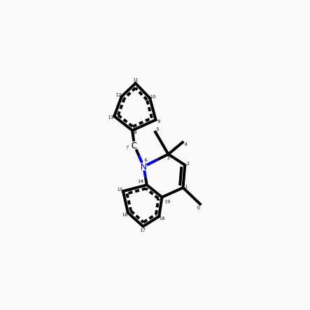 CC1=CC(C)(C)N(Cc2ccccc2)c2ccccc21